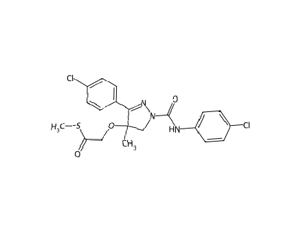 CSC(=O)COC1(C)CN(C(=O)Nc2ccc(Cl)cc2)N=C1c1ccc(Cl)cc1